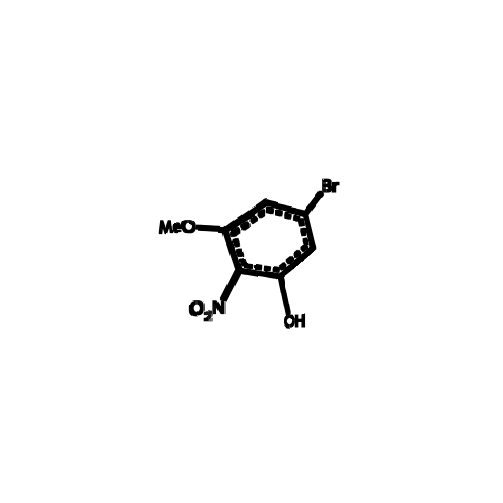 COc1cc(Br)cc(O)c1[N+](=O)[O-]